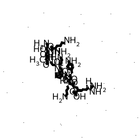 C[C@H](NC(=O)[C@@H](NC(=O)[C@@H](N)CCCCN)[C@@H](O)CN)C(=O)NCC(=O)N[C@H](CCCN)C(=O)N1CCC[C@H]1C(=O)N[C@@H](Cc1ccc(N)cc1)C(=O)N[C@@H](CCCCN)C(=O)CC/C(=C\CCNC(=N)N)C(=O)O